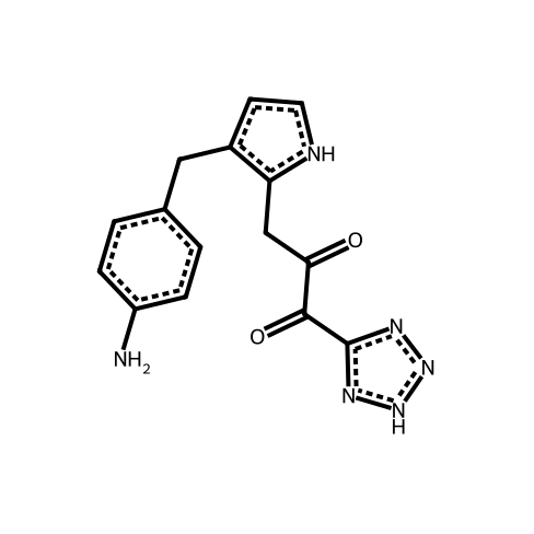 Nc1ccc(Cc2cc[nH]c2CC(=O)C(=O)c2nn[nH]n2)cc1